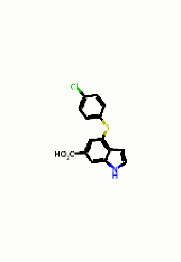 O=C(O)c1cc(Sc2ccc(Cl)cc2)c2cc[nH]c2c1